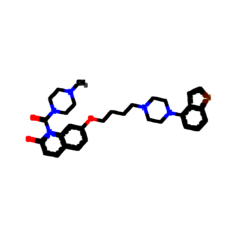 CN1CCN(C(=O)n2c(=O)ccc3ccc(OCCCCN4CCN(c5cccc6sccc56)CC4)cc32)CC1